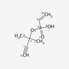 C#CC(C)(C)OP(=O)(O)C=C